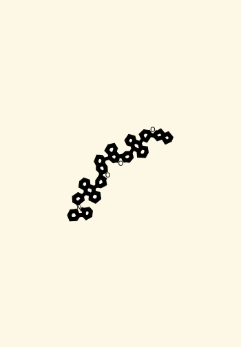 c1cc(-c2c3ccccc3c(-c3ccc4oc5cc6c(-c7cc8oc9ccc(-c%10c%11ccccc%11c(-c%11ccc%12oc%13cc%14ccccc%14cc%13c%12c%11)c%11ccccc%10%11)cc9c8c8ccccc78)cccc6cc5c4c3)c3ccccc23)cc(-n2c3ccccc3c3ccccc32)c1